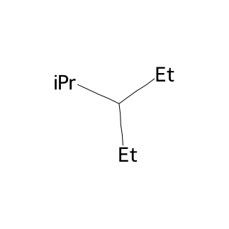 CCC(CC)C(C)C